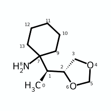 C[C@H]([C@@H]1COCO1)C1(N)CCCCC1